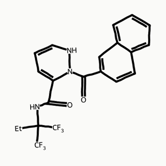 CCC(NC(=O)C1=CC=CNN1C(=O)c1ccc2ccccc2c1)(C(F)(F)F)C(F)(F)F